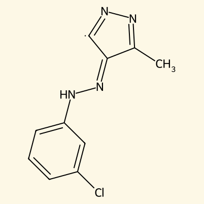 CC1=NN=[C]C1=NNc1cccc(Cl)c1